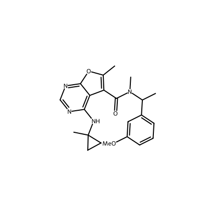 COc1cccc(C(C)N(C)C(=O)c2c(C)oc3ncnc(NC4(C)CC4)c23)c1